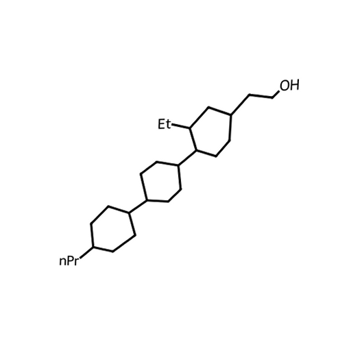 CCCC1CCC(C2CCC(C3CCC(CCO)CC3CC)CC2)CC1